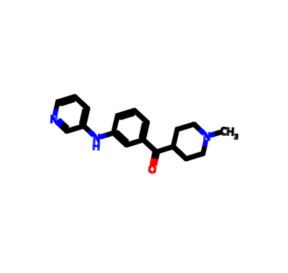 CN1CCC(C(=O)c2cccc(Nc3cccnc3)c2)CC1